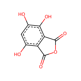 O=C1OC(=O)c2c(O)c(O)cc(O)c21